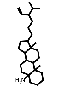 C=CC(CCCC1CCC2C3CCC4(N)CCCCC4(C)C3CCC12C)C(C)C